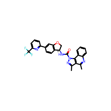 Cc1nc2ccccc2c2c1c(C)nn2C(=O)N[C@@H]1COc2cc(-c3cccc(C(F)(F)F)n3)ccc21